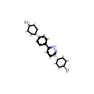 CC[C@H]1CC[C@H](c2ccc(-c3ccc([C@H]4CC[C@H](CC)CC4)nn3)cc2)CC1